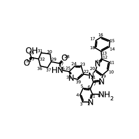 Nc1ncccc1-c1nc2ccc(-c3ccccc3)nc2n1-c1ccc(NC(=O)C2CCC(C(=O)O)CC2)nc1